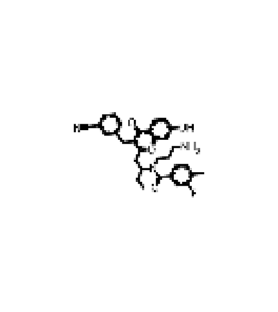 CCC(Cc1oc2cc(O)ccc2c(=O)c1Cc1cccc(C#N)c1)N(CCCN)C(=O)c1ccc(C)c(F)c1